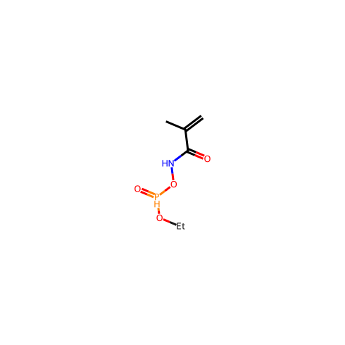 C=C(C)C(=O)NO[PH](=O)OCC